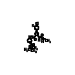 CCNC(=O)Nc1cn(-c2ccc(Cl)c(F)c2)cc1C(=O)NC1CCCN(C(=O)OC(C)(C)C)C1